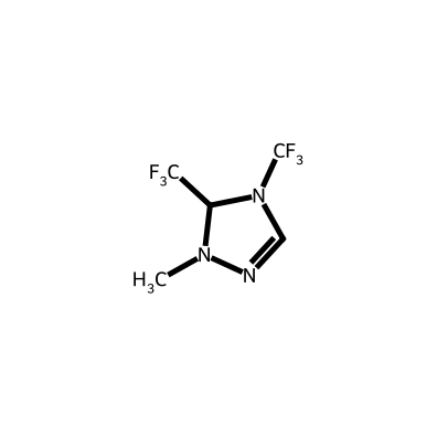 CN1N=CN(C(F)(F)F)C1C(F)(F)F